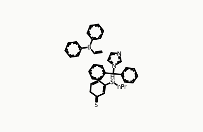 C=CB(c1ccccc1)c1ccccc1.CCC[SiH](C1=CC(=S)CC=C1)C(c1ccccc1)(c1ccccc1)n1ccnc1